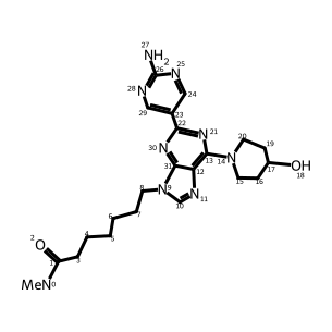 CNC(=O)CCCCCCn1cnc2c(N3CCC(O)CC3)nc(-c3cnc(N)nc3)nc21